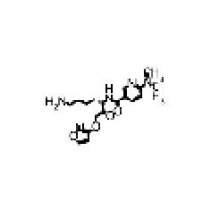 CN(C)c1ccc(C(=O)N[C@@H](CCCCN)C(=O)COc2ccon2)cn1